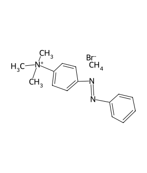 C.C[N+](C)(C)c1ccc(N=Nc2ccccc2)cc1.[Br-]